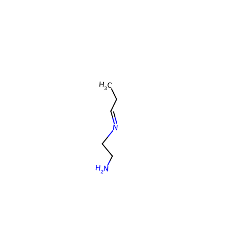 CCC=NCCN